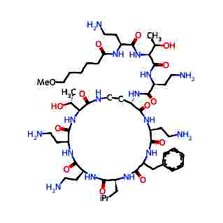 COCCCCCC(=O)N[C@@H](CCN)C(=O)N[C@H](C(=O)N[C@@H](CCN)C(=O)N[C@H]1CCNC(=O)[C@H]([C@@H](C)O)NC(=O)[C@H](CCN)NC(=O)[C@H](CCN)NC(=O)[C@H](CC(C)C)NC(=O)C(Cc2ccccc2)NC(=O)[C@H](CCN)NC1=O)[C@@H](C)O